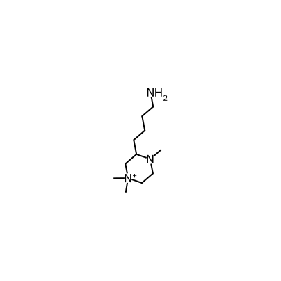 CN1CC[N+](C)(C)CC1CCCCN